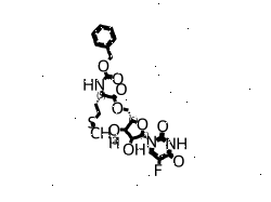 CSCC[C@H](NC(=O)OCc1ccccc1)C(=O)OC[C@@H]1O[C@H](n2cc(F)c(=O)[nH]c2=O)C(O)C1O